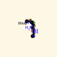 COc1cccc(C(=O)Nc2cc(-c3csc(-c4sc(NC(=O)NCCc5ccccn5)nc4N)n3)c(F)cc2F)c1